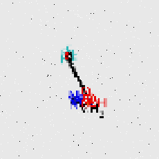 C[C@H](Cn1cnc2c(N)ncnc21)OCP(=O)(O)OCCOCCCCCCCCCCCCCc1c(F)c(F)c(F)c(F)c1F